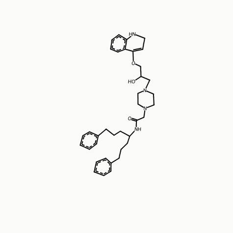 O=C(CN1CCN(CC(O)COC2=CCNc3ccccc32)CC1)NC(CCCc1ccccc1)CCCc1ccccc1